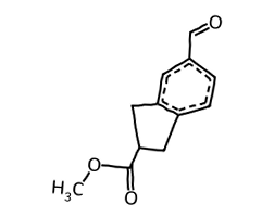 COC(=O)C1Cc2ccc(C=O)cc2C1